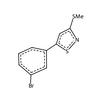 CSc1cc(-c2cccc(Br)c2)sn1